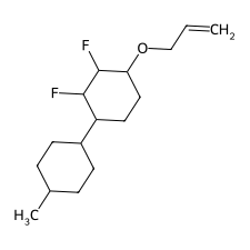 C=CCOC1CCC(C2CCC(C)CC2)C(F)C1F